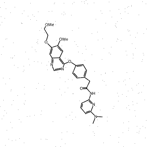 COCCOc1cc2ncnc(Oc3ccc(CC(=O)Nc4cccc(N(C)C)n4)cc3)c2cc1OC